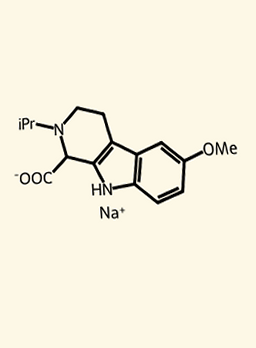 COc1ccc2[nH]c3c(c2c1)CCN(C(C)C)C3C(=O)[O-].[Na+]